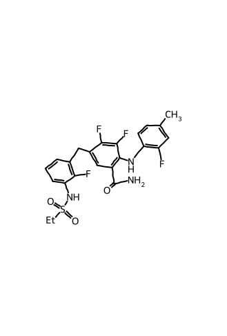 CCS(=O)(=O)Nc1cccc(Cc2cc(C(N)=O)c(Nc3ccc(C)cc3F)c(F)c2F)c1F